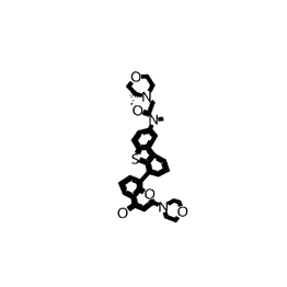 C[C@@H]1COCCN1CC(=O)N(C)c1ccc2sc3c(-c4cccc5c(=O)cc(N6CCOCC6)oc45)cccc3c2c1